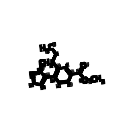 CCCc1cc(C(=O)OC)ccc1-c1ccnn1C